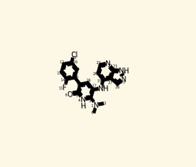 CN(C)c1[nH]c(=O)c(-c2cc(Cl)ccc2F)cc1Nc1ccnc2[nH]ncc12